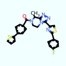 CC1c2nnc(-c3csc(-c4ccc(F)cc4)n3)n2CCN1C(=O)c1ccc(-c2cccs2)cc1